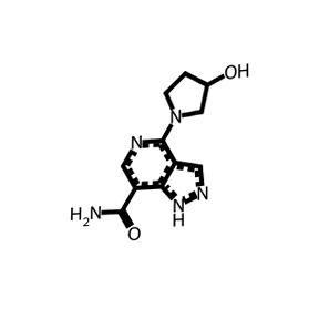 NC(=O)c1cnc(N2CCC(O)C2)c2cn[nH]c12